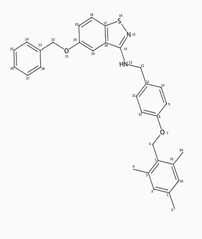 Cc1cc(C)c(COc2ccc(CNc3nsc4ccc(OCc5ccccc5)cc34)cc2)c(C)c1